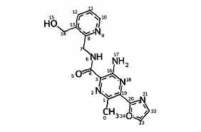 Cc1nc(C(=O)NCc2ncccc2CO)c(N)nc1-c1ncco1